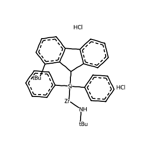 CC(C)(C)[NH][Zr][Si](c1ccccc1)(c1ccccc1)C1c2ccccc2-c2cccc(C(C)(C)C)c21.Cl.Cl